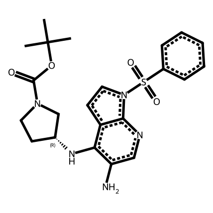 CC(C)(C)OC(=O)N1CC[C@@H](Nc2c(N)cnc3c2ccn3S(=O)(=O)c2ccccc2)C1